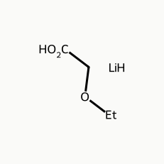 CCOCC(=O)O.[LiH]